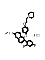 COc1ccc2c(Oc3ccc(OCCN4CCCCC4)cc3)c(-c3ccc(F)cc3F)ccc2c1.Cl